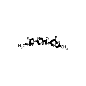 CCN[C@H]1CN(c2cnc(C(=O)Nc3cc(F)c4nc(C)cn4c3)cn2)C[C@H]1F